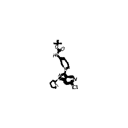 CC(C)(C)OC(=O)NC1CCCN(c2nn(C3CCCCO3)c3cc(Cl)ncc23)C1